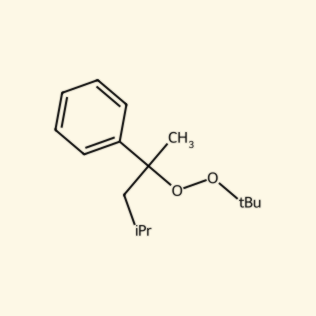 CC(C)CC(C)(OOC(C)(C)C)c1ccccc1